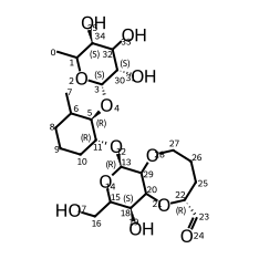 CC1O[C@@H](O[C@@H]2C(C)CCC[C@H]2O[C@@H]2OC(CO)[C@H](O)C3O[C@@H](C=O)CCCOC32)[C@@H](O)C(O)[C@@H]1O